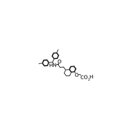 Cc1ccc(C(NC(=O)CCC2CCCc3c(OCC(=O)O)cccc32)c2ccc(C)cc2)cc1